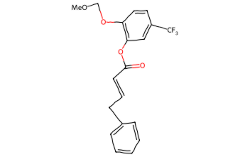 COCOc1ccc(C(F)(F)F)cc1OC(=O)C=CCc1ccccc1